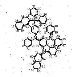 c1ccc(N(c2ccc3c(c2)-c2c(ccc4ccccc24)C3(c2ccccc2)c2ccccc2)c2cc(N(c3ccccc3)c3ccccc3)c3c4ccccc4n(-c4ccc5ccccc5c4)c3c2)cc1